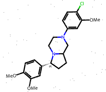 COc1cc(N2CCN3C(CC[C@@H]3c3ccc(OC)c(OC)c3)C2)ccc1Cl